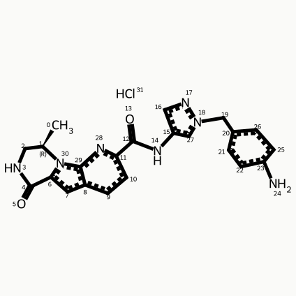 C[C@@H]1CNC(=O)c2cc3ccc(C(=O)Nc4cnn(Cc5ccc(N)cc5)c4)nc3n21.Cl